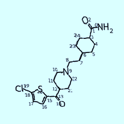 NC(=O)C1CCC(CCN2CCC(C(=O)c3ccc(Cl)s3)CC2)CC1